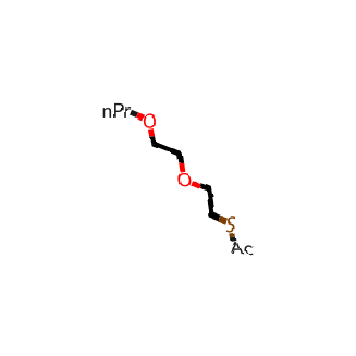 CCCOCCOCCSC(C)=O